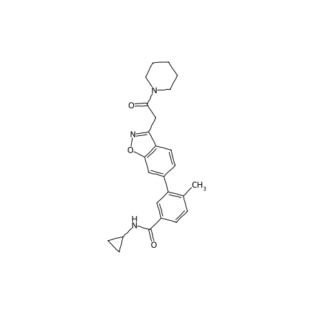 Cc1ccc(C(=O)NC2CC2)cc1-c1ccc2c(CC(=O)N3CCCCC3)noc2c1